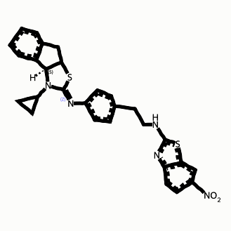 O=[N+]([O-])c1ccc2nc(NCCc3ccc(/N=C4\SC5Cc6ccccc6[C@@H]5N4C4CC4)cc3)sc2c1